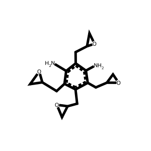 Nc1c(CC2CO2)c(N)c(CC2CO2)c(CC2CO2)c1CC1CO1